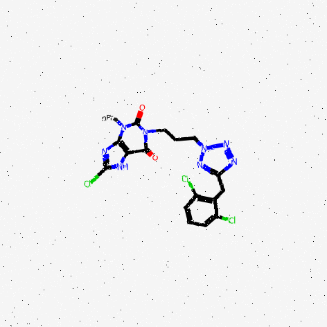 CCCn1c(=O)n(CCCn2nnc(Cc3c(Cl)cccc3Cl)n2)c(=O)c2[nH]c(Cl)nc21